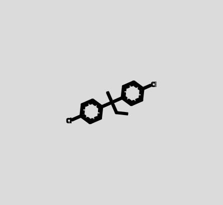 CCC(C)(c1ccc(Cl)cc1)c1ccc(Cl)cc1